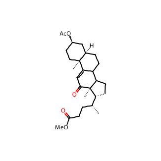 COC(=O)CC[C@@H](C)[C@H]1CCC2C3CC[C@@H]4C[C@H](OC(C)=O)CC[C@]4(C)C3=CC(=O)[C@@]21C